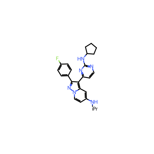 CC(C)Nc1ccn2nc(-c3ccc(F)cc3)c(-c3ccnc(NC4CCCC4)n3)c2c1